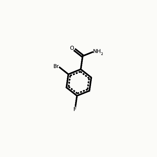 NC(=O)c1ccc(F)cc1Br